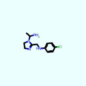 CC(N)N1CCN=C1CNc1ccc(Cl)cc1